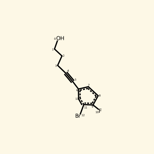 OCCCC#Cc1ccc(F)c(Br)c1